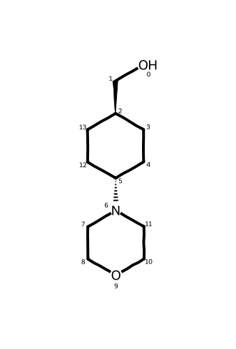 OC[C@H]1CC[C@H](N2CCOCC2)CC1